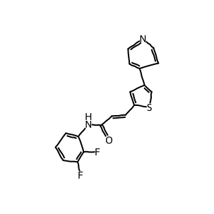 O=C(C=Cc1cc(-c2ccncc2)cs1)Nc1cccc(F)c1F